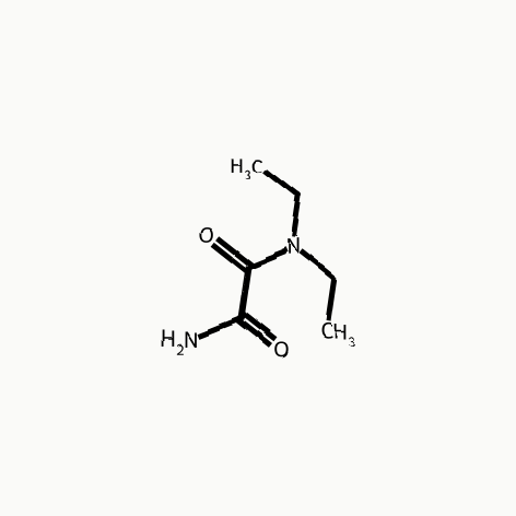 CCN(CC)C(=O)C(N)=O